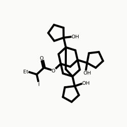 CCC(I)C(=O)OC12CC3(C4(O)CCCC4)CC(C4(O)CCCC4)(C1)CC(C1(O)CCCC1)(C2)C3